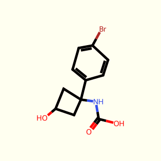 O=C(O)NC1(c2ccc(Br)cc2)CC(O)C1